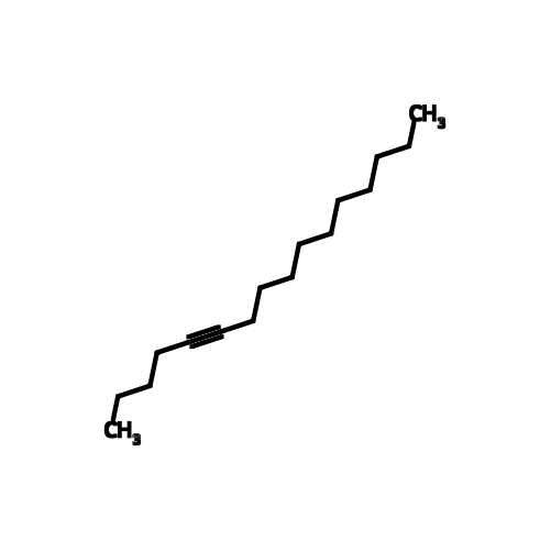 CCCCC#CCCCCCCCCCC